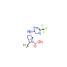 CC1C2CC(Nc3cnc(C(F)(F)F)cn3)C(C2)N1C(=O)O